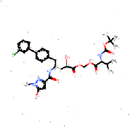 CC(C)[C@H](NC(=O)OC(C)(C)C)C(=O)OCOC(=O)[C@H](O)C[C@@H](Cc1ccc(-c2cccc(Cl)c2)cc1)NC(=O)c1cc(O)n(C)n1